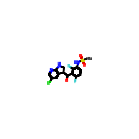 CCCCS(=O)(=O)Nc1ccc(F)c(C(=O)C2CNc3ncc(Cl)cc32)c1F